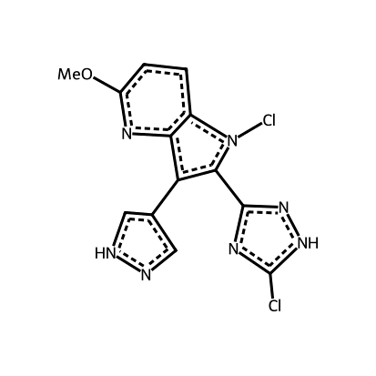 COc1ccc2c(n1)c(-c1cn[nH]c1)c(-c1n[nH]c(Cl)n1)n2Cl